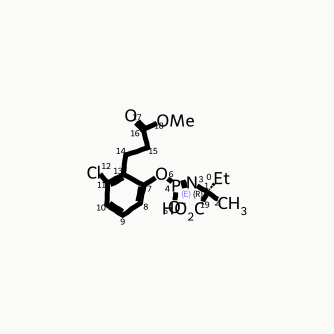 CC[C@@](C)(/N=[P+](\[O-])Oc1cccc(Cl)c1CCC(=O)OC)C(=O)O